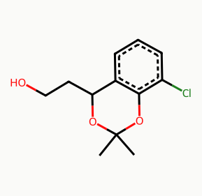 CC1(C)Oc2c(Cl)cccc2C(CCO)O1